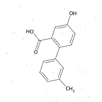 Cc1cccc(-c2ccc(O)cc2C(=O)O)c1